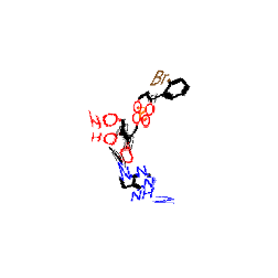 C[C@@H](O[C@H](COP1(=O)OCC[C@@H](c2ccccc2Br)O1)[C@@H](O)CO)n1ccc2c(N)ncnc21